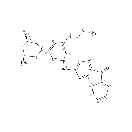 NCCNc1nc(Nc2ccc3c(c2)-c2ccccc2C3=O)nc(N2C[C@H](N)C[C@H](N)C2)n1